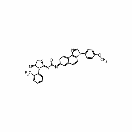 O=C(N=C1C=c2ccc3c(ncn3-c3ccc(OC(F)(F)F)cc3)c2=CC1)N=C1SCC(=O)N1c1ccccc1C(F)(F)F